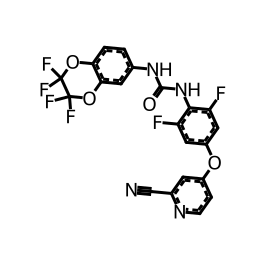 N#Cc1cc(Oc2cc(F)c(NC(=O)Nc3ccc4c(c3)OC(F)(F)C(F)(F)O4)c(F)c2)ccn1